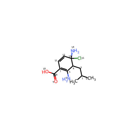 CC(C)CC1C(N)=C(C(=O)O)C=CC1(N)Cl